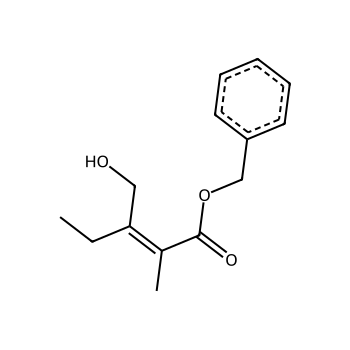 CCC(CO)=C(C)C(=O)OCc1ccccc1